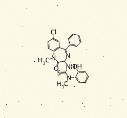 CN(C(=S)NC1N=C(c2ccccc2)c2cc(Cl)ccc2N(C)C1=O)c1ccccc1O